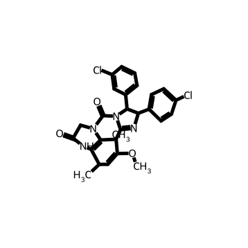 COC1=CC(C)C2=C3N(CC(=O)N2)C(=O)N2C(=NC(c4ccc(Cl)cc4)C2c2cccc(Cl)c2)C13C